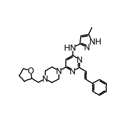 Cc1cc(Nc2cc(N3CCN(CC4CCCO4)CC3)nc(C=Cc3ccccc3)n2)n[nH]1